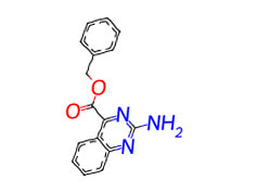 Nc1nc(C(=O)OCc2ccccc2)c2ccccc2n1